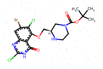 CC(C)(C)OC(=O)N1CCN[C@@H](COc2c(Cl)c(Br)cc3nc(Cl)[nH]c(=O)c23)C1